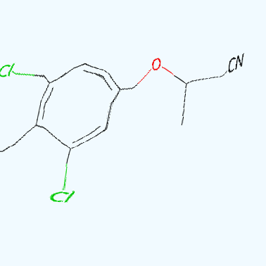 Cc1c(Cl)cc(OC(C)C#N)cc1Cl